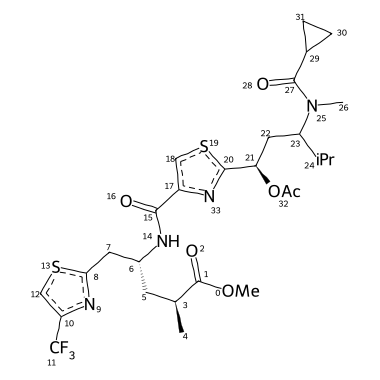 COC(=O)[C@@H](C)C[C@H](Cc1nc(C(F)(F)F)cs1)NC(=O)c1csc([C@@H](CC(C(C)C)N(C)C(=O)C2CC2)OC(C)=O)n1